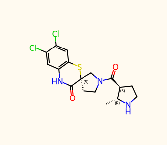 C[C@H]1NCC[C@@H]1C(=O)N1CC[C@@]2(C1)Sc1cc(Cl)c(Cl)cc1NC2=O